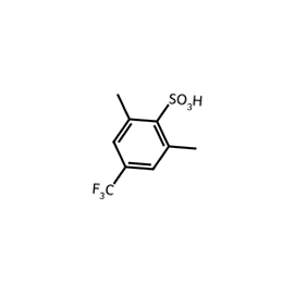 Cc1cc(C(F)(F)F)cc(C)c1S(=O)(=O)O